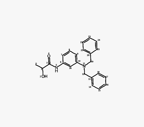 CC(O)C(=O)Nc1cccc(N(Cc2ccccc2)Cc2ccccc2)c1